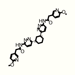 COc1ccc(CC(=O)Nc2ccc([C@H]3CCC[C@H](c4ccc(NC(=O)Cc5ccc(OC)nc5)nn4)C3)nn2)cn1